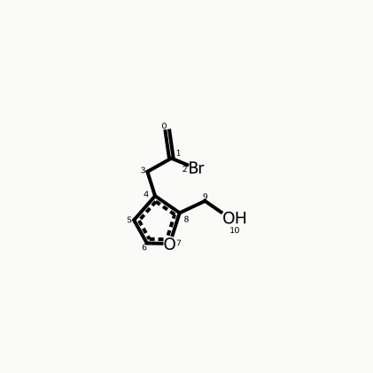 C=C(Br)Cc1ccoc1CO